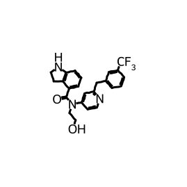 O=C(c1cccc2c1CCN2)N(CCO)c1ccnc(Cc2cccc(C(F)(F)F)c2)c1